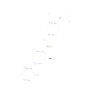 C[C@H]1CN(c2ncccc2Cl)CCN1C(=S)Nc1ccc(C(C)(C)C)cc1